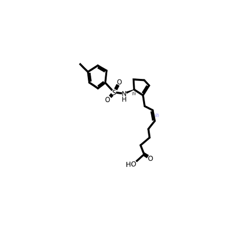 Cc1ccc(S(=O)(=O)N[C@H]2CCC=C2C/C=C\CCCC(=O)O)cc1